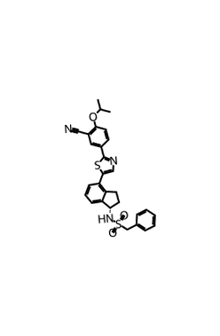 CC(C)Oc1ccc(-c2ncc(-c3cccc4c3CC[C@@H]4NS(=O)(=O)Cc3ccccc3)s2)cc1C#N